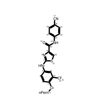 CCCCCOc1ccc(Nc2nc(C(=O)Nc3ccc(C#N)cc3)cs2)cc1C(F)(F)F